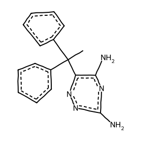 CC(c1ccccc1)(c1ccccc1)c1nnc(N)nc1N